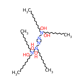 CCCCCCCCCCCC(O)CN(CCN1CCN(CCN(CCN(CC(O)CCCCCCCCCC)CC(O)CCCCCCCCCC)CC(O)CCCCCCCCCC)CC1)CC(O)CCCCCCCCCC